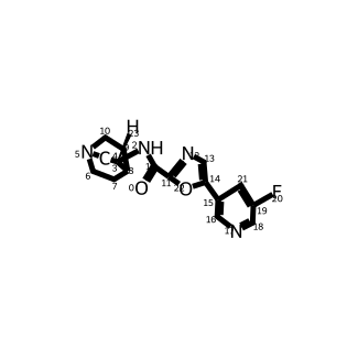 O=C(N[C@H]1CN2CCC1CC2)c1ncc(-c2cncc(F)c2)o1